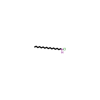 CCCCCCCCCCCCCCCCPCl